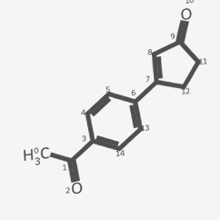 CC(=O)c1ccc(C2=CC(=O)CC2)cc1